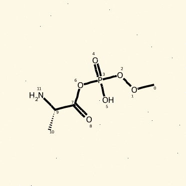 COOP(=O)(O)OC(=O)[C@H](C)N